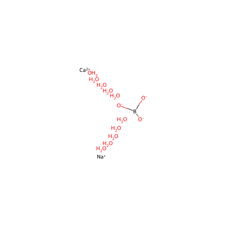 O.O.O.O.O.O.O.O.O.O.[Ca+2].[Na+].[O-]B([O-])[O-]